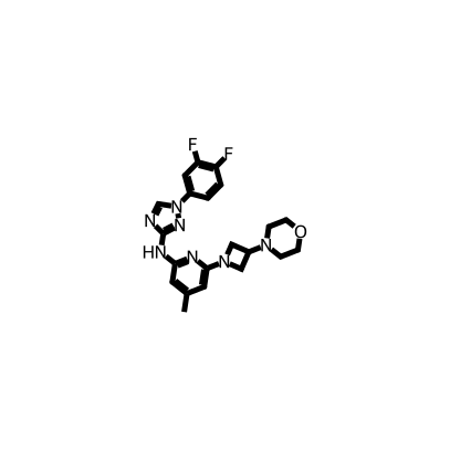 Cc1cc(Nc2ncn(-c3ccc(F)c(F)c3)n2)nc(N2CC(N3CCOCC3)C2)c1